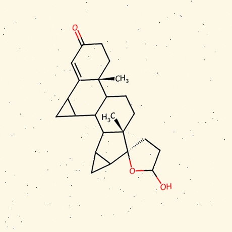 C[C@]12CCC(=O)C=C1C1CC1C1C2CC[C@@]2(C)C1C1CC1[C@@]21CCC(O)O1